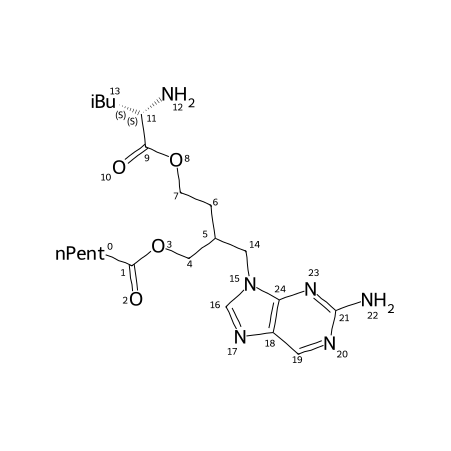 CCCCCC(=O)OCC(CCOC(=O)[C@@H](N)[C@@H](C)CC)Cn1cnc2cnc(N)nc21